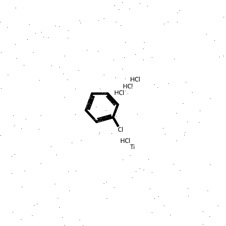 Cl.Cl.Cl.Cl.Clc1ccccc1.[Ti]